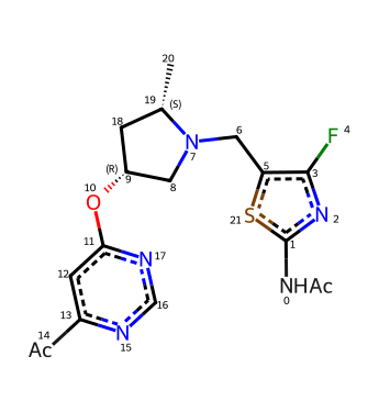 CC(=O)Nc1nc(F)c(CN2C[C@H](Oc3cc(C(C)=O)ncn3)C[C@@H]2C)s1